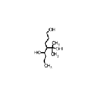 CCCC(O)C(CCCO)C(C)(C)O